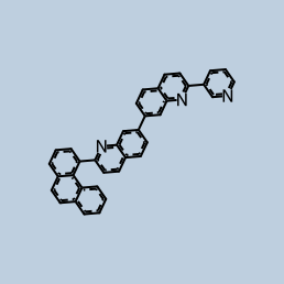 c1cncc(-c2ccc3ccc(-c4ccc5ccc(-c6cccc7ccc8ccccc8c67)nc5c4)cc3n2)c1